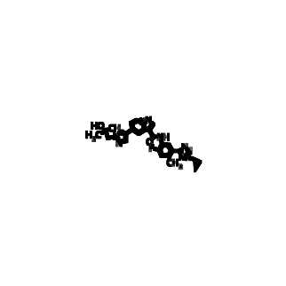 Cc1cc(F)c(NC(=O)c2cnn3ccc(-c4cnn(CC(C)(C)O)c4)cc23)cc1-c1nnn(C2CC2)n1